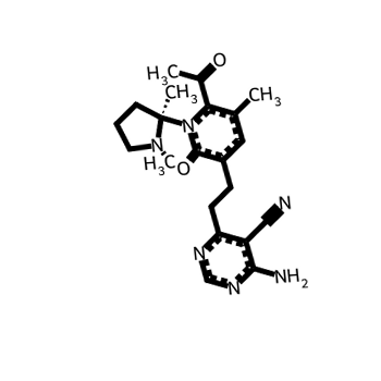 CC(=O)c1c(C)cc(CCc2ncnc(N)c2C#N)c(=O)n1[C@]1(C)CCCN1C